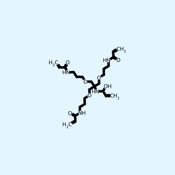 C=CC(=O)NCCCOCC(COCCCNC(=O)C=C)(COCCCNC(=O)C=C)NC(O)C=C